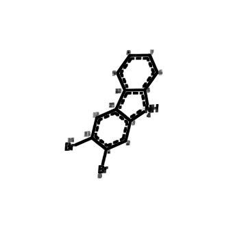 Brc1cc2[nH]c3ccccc3c2cc1Br